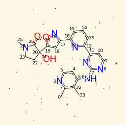 Cc1nccc(Nc2nccc(-c3cccc(-c4cc(C5(O)CCN(C)C5=O)on4)n3)n2)c1C